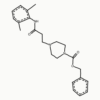 Cc1cccc(C)c1NC(=O)CCN1CCN(C(=O)OCc2ccccc2)CC1